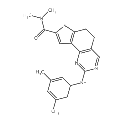 CC1=CC(Nc2ncc3c(n2)-c2cc(C(=O)N(C)C)sc2CS3)CC(C)=C1